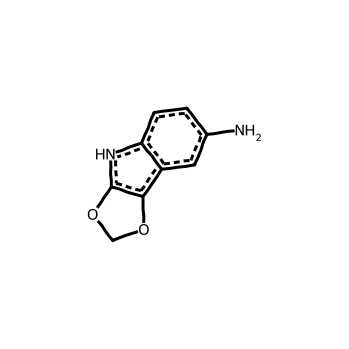 Nc1ccc2[nH]c3c(c2c1)OCO3